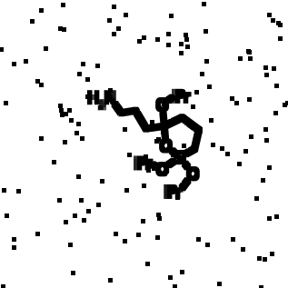 CC(C)OC1(CCCN)CCC[Si](OC(C)C)(OC(C)C)O1